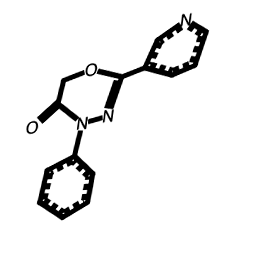 O=C1COC(c2cccnc2)=NN1c1ccccc1